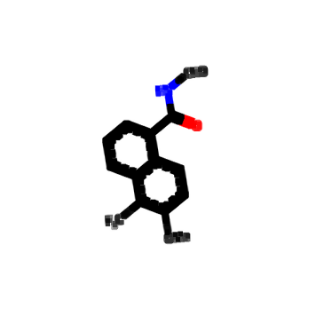 COc1ccc2c(C(=O)NC=O)cccc2c1C(F)(F)F